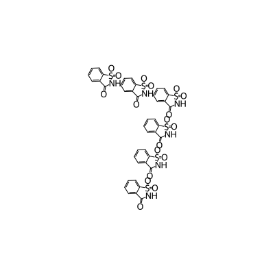 O=C1NS(=O)(=O)c2ccccc21.O=C1NS(=O)(=O)c2ccccc21.O=C1NS(=O)(=O)c2ccccc21.O=C1NS(=O)(=O)c2ccccc21.O=C1NS(=O)(=O)c2ccccc21.O=C1NS(=O)(=O)c2ccccc21